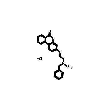 CN(CCOc1ccc2c(c1)oc(=O)c1ccccc12)Cc1ccccc1.Cl